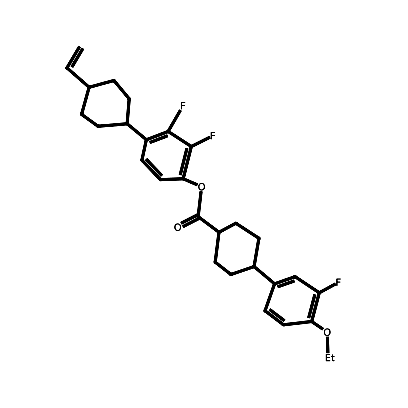 C=CC1CCC(c2ccc(OC(=O)C3CCC(c4ccc(OCC)c(F)c4)CC3)c(F)c2F)CC1